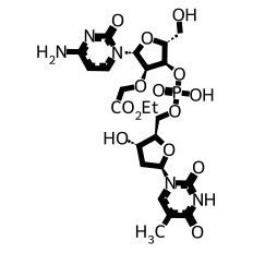 CCOC(=O)CO[C@@H]1[C@H](OP(=O)(O)OC[C@H]2O[C@@H](n3cc(C)c(=O)[nH]c3=O)C[C@@H]2O)[C@@H](CO)O[C@H]1n1ccc(N)nc1=O